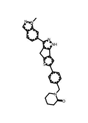 Cn1ncc2ccc(-c3n[nH]c4c3Cc3sc(-c5ccc(CN6CCCCC6=O)cc5)cc3-4)cc21